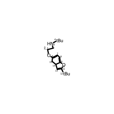 C[C@H](CNC(C)(C)C)OC1=CC=C2OC(C(C)(C)C)=CC2C1